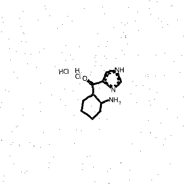 Cl.Cl.NC1CCCCC1C(=O)c1c[nH]cn1